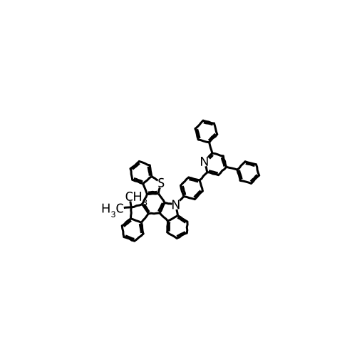 CC1(C)c2ccccc2-c2c1c1c3ccccc3sc1c1c2c2ccccc2n1-c1ccc(-c2cc(-c3ccccc3)cc(-c3ccccc3)n2)cc1